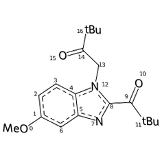 COc1ccc2c(c1)nc(C(=O)C(C)(C)C)n2CC(=O)C(C)(C)C